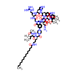 CCCCCCCCCCCCCCCC(=O)NCCCC[C@H](NC(=O)[C@@H](NC(C)=O)[C@@H](C)CC)C(=O)N1CCN(c2ccc3ncn(CC(=O)N[C@@H](CCCNC(=N)N)C(=O)N[C@@H](Cc4c[nH]cn4)C(=O)N[C@@H](Cc4ccc(O)cc4)C(=O)N[C@@H](CC(C)C)C(=O)N[C@@H](CC(N)=O)C(=O)N[C@@H](Cc4c[nH]c5ccccc45)C(=O)N[C@H](C(C)=O)C(C)C)c(=O)c3c2)CC1